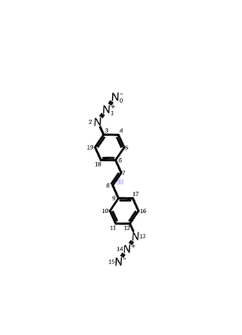 [N-]=[N+]=Nc1ccc(/C=C/c2ccc(N=[N+]=[N-])cc2)cc1